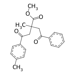 COC(=O)C(C)(CC(=O)c1ccccc1)CC(=O)c1ccc(C)cc1